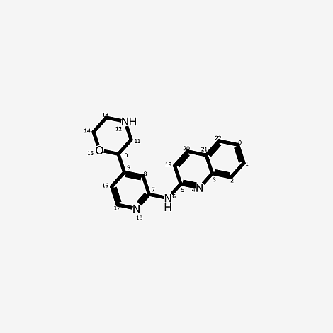 c1ccc2nc(Nc3cc(C4CNCCO4)ccn3)ccc2c1